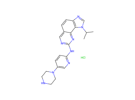 CC(C)n1cnc2ccc3cnc(Nc4ccc(N5CCNCC5)cn4)nc3c21.Cl